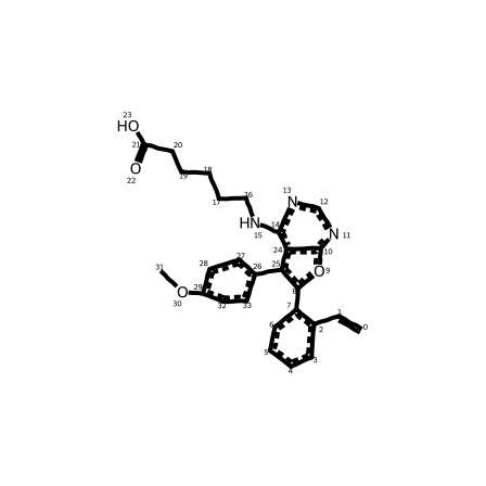 C=Cc1ccccc1-c1oc2ncnc(NCCCCCC(=O)O)c2c1-c1ccc(OC)cc1